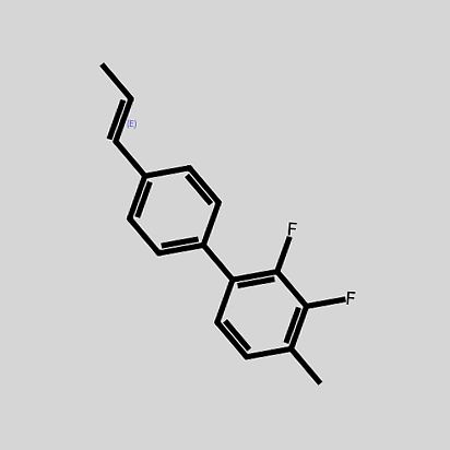 C/C=C/c1ccc(-c2ccc(C)c(F)c2F)cc1